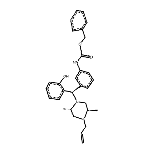 C=CCN1C[C@H](C)N([C@H](c2cccc(NC(=O)OCc3ccccc3)c2)c2ccccc2O)C[C@H]1C